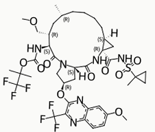 COC[C@@H]1C[C@H](C)CCCC[C@H]2C[C@@]2(C(=O)NS(=O)(=O)C2(C)CC2)NC(=O)[C@@H]2C[C@@H](Oc3nc4cc(OC)ccc4nc3C(F)(F)F)CN2C(=O)[C@H]1NC(=O)OC(C)(C)C(F)(F)F